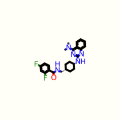 CN(C)c1nc(N[C@H]2CC[C@@H](CNC(=O)c3ccc(F)cc3F)CC2)nc2ccccc12